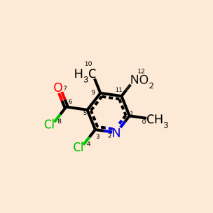 Cc1nc(Cl)c(C(=O)Cl)c(C)c1[N+](=O)[O-]